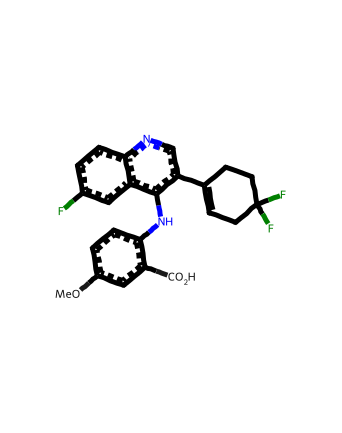 COc1ccc(Nc2c(C3=CCC(F)(F)CC3)cnc3ccc(F)cc23)c(C(=O)O)c1